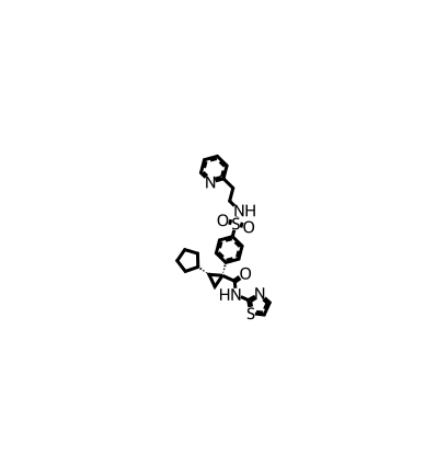 O=C(Nc1nccs1)[C@@]1(c2ccc(S(=O)(=O)NCCc3ccccn3)cc2)C[C@@H]1C1CCCC1